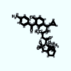 CC(CC(=O)N1C2CC3CCC2(CS1(=O)=O)C3(C)C)N[C@@H](c1ccc(Cl)c(C(=O)c2ccc(N)nc2)c1F)C1CC1